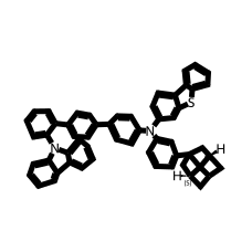 c1cc(N(c2ccc(-c3ccc(-c4ccccc4-n4c5ccccc5c5ccccc54)cc3)cc2)c2ccc3c(c2)sc2ccccc23)cc(C23C[C@@H]4CC5C[C@@H](C2)C543)c1